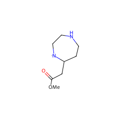 COC(=O)CC1CCNCC[N]1